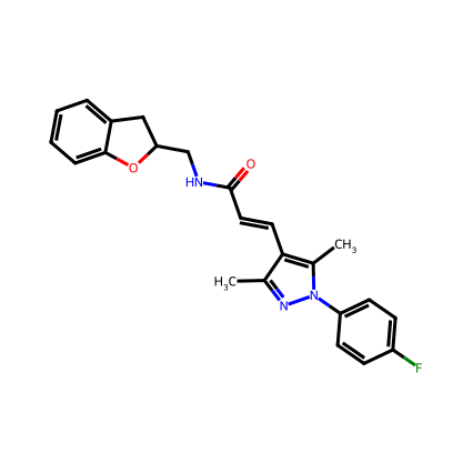 Cc1nn(-c2ccc(F)cc2)c(C)c1C=CC(=O)NCC1Cc2ccccc2O1